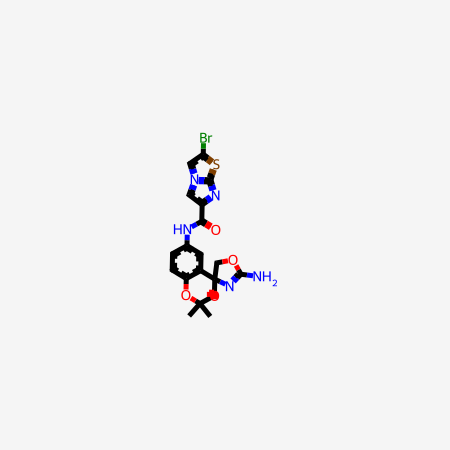 CC1(C)Oc2ccc(NC(=O)c3cn4cc(Br)sc4n3)cc2C2(COC(N)=N2)C12COC2